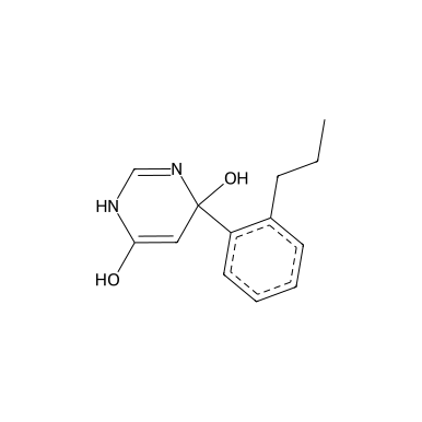 CCCc1ccccc1C1(O)C=C(O)NC=N1